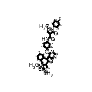 CN(C)Cc1ccccc1-c1c(-c2cnn(C)c2)oc2ncnc(Oc3ccc(NC(=O)c4cn(C)n(-c5ccc(F)cc5)c4=O)cc3)c12